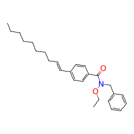 CCCCCCCC/C=C/c1ccc(C(=O)N(Cc2ccccc2)OCC)cc1